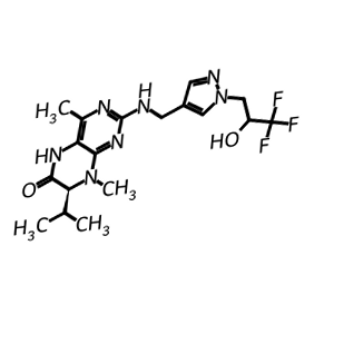 Cc1nc(NCc2cnn(CC(O)C(F)(F)F)c2)nc2c1NC(=O)[C@H](C(C)C)N2C